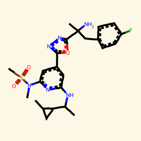 CC1CC1C(C)Nc1cc(-c2nnc(C(C)(N)Cc3ccc(F)cc3)o2)cc(N(C)S(C)(=O)=O)n1